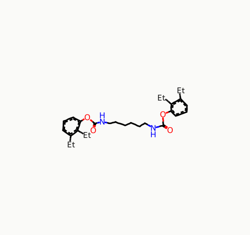 CCc1cccc(OC(=O)NCCCCCCNC(=O)Oc2cccc(CC)c2CC)c1CC